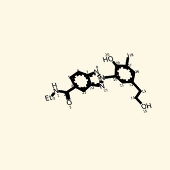 CCNC(=O)c1ccc2nn(-c3cc(CCO)cc(I)c3O)nc2c1